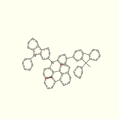 CC1(c2ccccc2)c2ccccc2-c2ccc(-c3ccc(N(c4ccc5c6ccccc6n(-c6ccccc6)c5c4)c4ccccc4-c4cccc5cccc(-c6ccccc6)c45)cc3)cc21